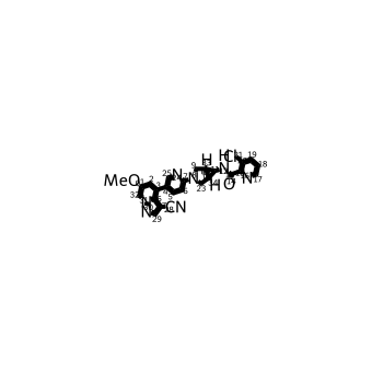 COc1cc(-c2ccc(N3C[C@@H]4C(NC(=O)c5ncccc5Cl)[C@@H]4C3)nc2)c2c(C#N)cnn2c1